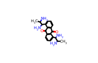 CC(N)C(N)c1cccc2c1C(=O)c1cccc(C(N)C(C)N)c1C2=O